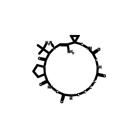 CC(C)(C)C1C(=O)N2CCCC2C(=O)NCC(=O)NCCCCC(=O)NCC(=O)NCC2(CC2)/C(N)=C/N1N